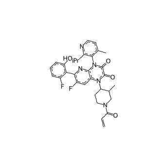 C=CC(=O)N1CCC(n2c(=O)c(=O)n(-c3c(C)ccnc3C(C)C)c3nc(-c4c(O)cccc4F)c(F)cc32)C(C)C1